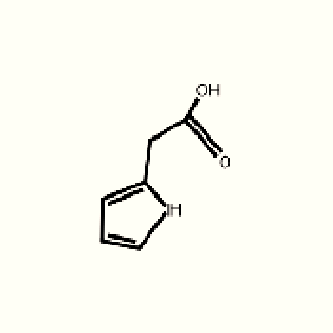 O=C(O)CC1=CC=C[IH]1